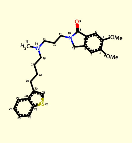 COc1cc2c(cc1OC)C(=O)N(CCCN(C)CCCCc1csc3ccccc13)C2